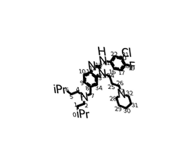 CC(C)CCN(CCC(C)C)Cc1ccc2nc(Nc3ccc(F)c(Cl)c3)n(CCCN3CCCCC3)c2c1